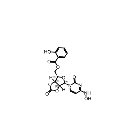 O=C1O[C@@H]2[C@H](O1)[C@@H](COC(=O)c1ccccc1O)O[C@H]2n1ccc(NO)nc1=O